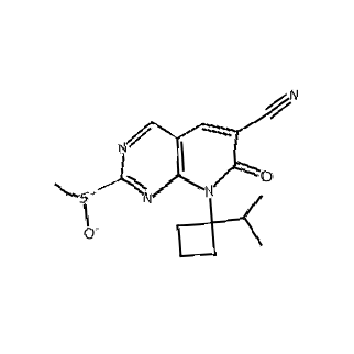 CC(C)C1(n2c(=O)c(C#N)cc3cnc([S+](C)[O-])nc32)CCC1